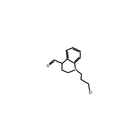 O=CC1CCN(CCCCl)c2ccccc21